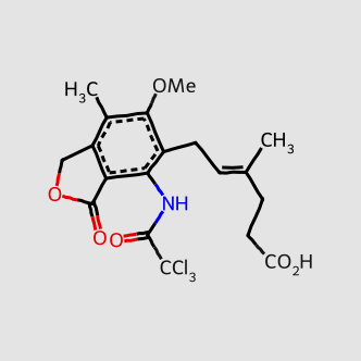 COc1c(C)c2c(c(NC(=O)C(Cl)(Cl)Cl)c1C/C=C(\C)CCC(=O)O)C(=O)OC2